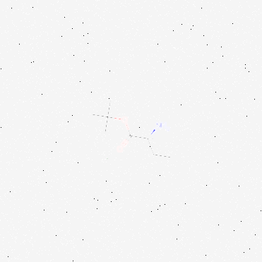 CC[C@H](N)C(=O)OC(C)(C)C.Cl